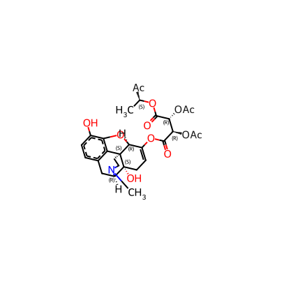 CC(=O)O[C@@H](C(=O)OC1=CC[C@@]2(O)[C@H]3Cc4ccc(O)c5c4[C@@]2(CCN3C)[C@H]1O5)[C@@H](OC(C)=O)C(=O)O[C@@H](C)C(C)=O